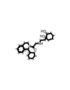 O=C(CNCC[C@@]1(O)CCCC[C@H]1O)N1CCc2ccccc2C1C1CCCCC1